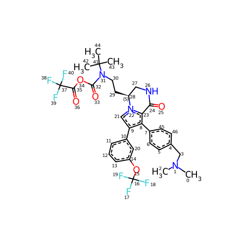 CN(C)Cc1ccc(-c2c(-c3cccc(OC(F)(F)F)c3)cn3c2C(=O)NC[C@@H]3CCN(C(=O)OC(=O)C(F)(F)F)C(C)(C)C)cc1